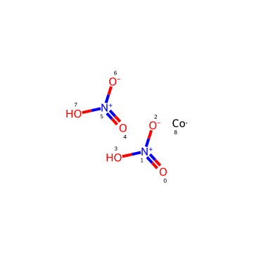 O=[N+]([O-])O.O=[N+]([O-])O.[Co]